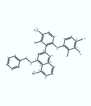 Cc1c(Oc2ncc(C(F)(F)F)c(C)c2-c2cc(OCc3ccccc3)c3c(C#N)nccc3n2)ccc(F)c1F